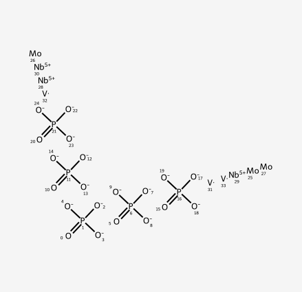 O=P([O-])([O-])[O-].O=P([O-])([O-])[O-].O=P([O-])([O-])[O-].O=P([O-])([O-])[O-].O=P([O-])([O-])[O-].[Mo].[Mo].[Mo].[Nb+5].[Nb+5].[Nb+5].[V].[V].[V]